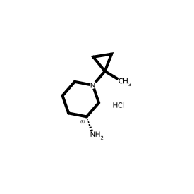 CC1(N2CCC[C@@H](N)C2)CC1.Cl